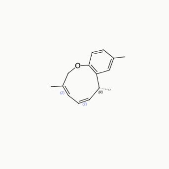 C/C1=C/C=C\[C@@H](C)c2cc(C)ccc2OC1